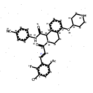 CC(=O)c1ccc(Cl)c(F)c1/C=C/C(=O)N1CCc2c(OC3CCNCC3)cccc2C1C(=O)Nc1ccc(C#N)cc1